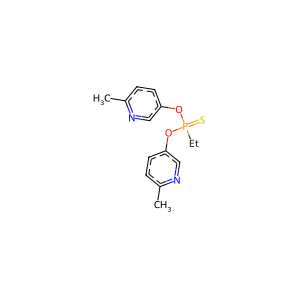 CCP(=S)(Oc1ccc(C)nc1)Oc1ccc(C)nc1